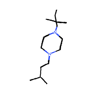 CC(C)CCN1CCN(C(C)(C)C)CC1